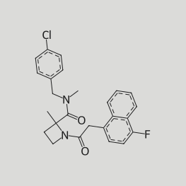 CN(Cc1ccc(Cl)cc1)C(=O)C1(C)CCN1C(=O)Cc1ccc(F)c2ccccc12